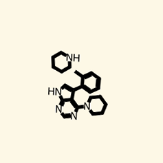 C1CCNCC1.Cc1ccccc1-c1c[nH]c2ncnc(N3CCCCC3)c12